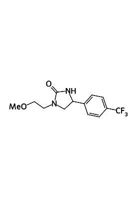 COCCN1CC(c2ccc(C(F)(F)F)cc2)NC1=O